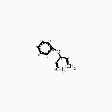 C=CC(C=C)Oc1ccccc1